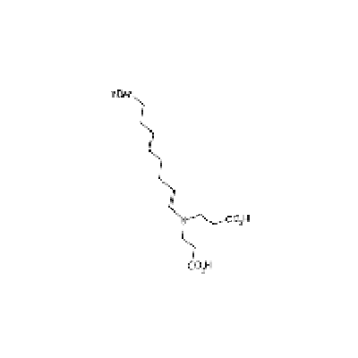 CCCCCCCCCCCCCCCCCCN(CCC(=O)O)CCC(=O)O